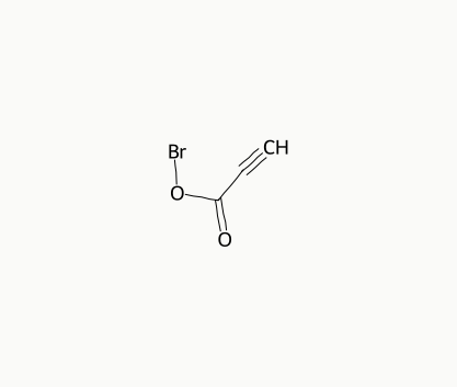 C#CC(=O)OBr